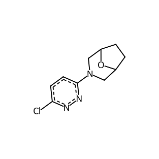 Clc1ccc(N2CC3CCC(C2)O3)nn1